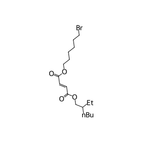 CCCCC(CC)COC(=O)C=CC(=O)OCCCCCCBr